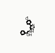 COc1ccc(-c2cc(NCC(O)c3ccccc3)ncn2)cc1